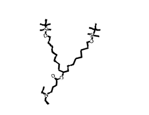 CCN(CC)CCCC(=O)OC(CCCCCCCCO[Si](C)(C)C(C)(C)C)CCCCCCCCO[Si](C)(C)C(C)(C)C